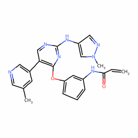 C=CC(=O)Nc1cccc(Oc2nc(Nc3cnn(C)c3)ncc2-c2cncc(C)c2)c1